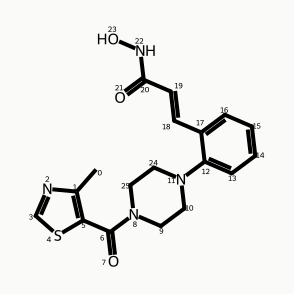 Cc1ncsc1C(=O)N1CCN(c2ccccc2/C=C/C(=O)NO)CC1